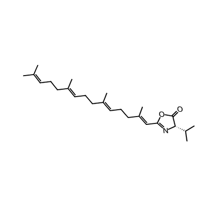 CC(C)=CCC/C(C)=C/CC/C(C)=C/CC/C(C)=C/C1=N[C@@H](C(C)C)C(=O)O1